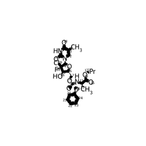 Cc1cn([C@@H]2O[C@H](COP(=O)(N[C@@H](C)C(=O)OC(C)C)Oc3ccccc3)[C@@H](O)[C@@]2(F)Cl)c(=O)[nH]c1=O